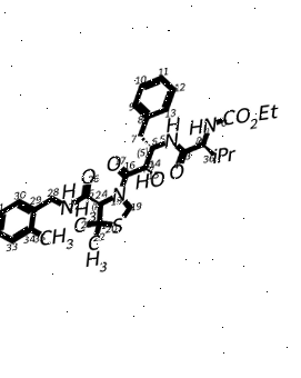 CCOC(=O)N[C@H](C(=O)N[C@@H](Cc1ccccc1)[C@H](O)C(=O)N1CSC(C)(C)[C@H]1C(=O)NCc1ccccc1C)C(C)C